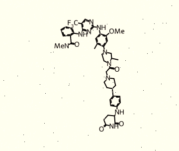 CNC(=O)c1ccccc1Nc1nc(Nc2cc(C)c(N3CCN(C(=O)CN4CCC(c5ccc(NC6CCC(=O)NC6=O)cc5)CC4)C(C)C3)cc2OC)ncc1C(F)(F)F